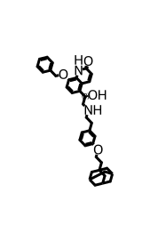 O=c1ccc2c([C@@H](O)CNCCc3cccc(OCCC45CC6CC(CC(C6)C4)C5)c3)ccc(OCc3ccccc3)c2[nH]1